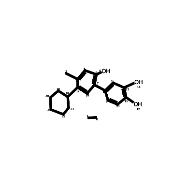 CC.Cc1cc(O)c(-c2ccc(O)c(O)c2)cc1C1CCCCC1